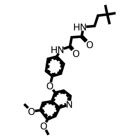 COc1cc2nccc(Oc3ccc(NC(=O)CC(=O)NCCC(C)(C)C)cc3)c2cc1OC